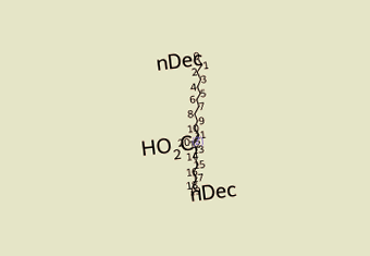 CCCCCCCCCCCCCCCCCCCC/C=C(/CCCCCCCCCCCCCCCC)C(=O)O